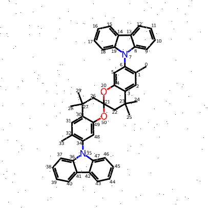 Cc1cc2c(cc1-n1c3ccccc3c3ccccc31)OC1(CC2(C)C)CC(C)(C)c2cc(C)c(-n3c4ccccc4c4ccccc43)cc2O1